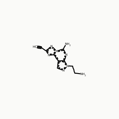 C#Cc1nc2c3cnn(CCN)c3nc(N)n2n1